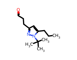 CCCc1cc(CCC=O)nn1C(C)(C)C